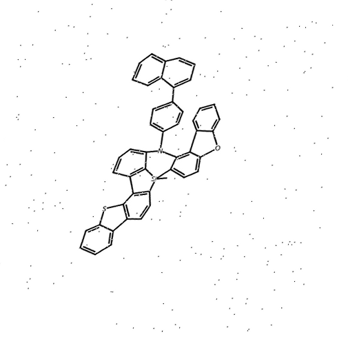 C[Si]12c3ccc4c(sc5ccccc54)c3-c3cccc(c31)N(c1ccc(-c3cccc4ccccc34)cc1)c1c2ccc2oc3ccccc3c12